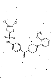 COc1ccccc1N1CCN(C(=O)c2ccc(NS(=O)(=O)c3cc(Cl)c(Cl)s3)cc2)CC1